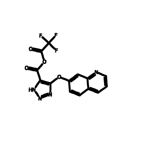 O=C(OC(=O)C(F)(F)F)c1[nH]nnc1Oc1ccc2cccnc2c1